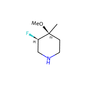 CO[C@@]1(C)CCNC[C@H]1F